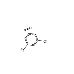 C=O.CCc1cccc(Cl)c1